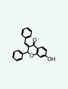 O=C1C(=Cc2ccccc2)C(c2ccccc2)Oc2cc(O)ccc21